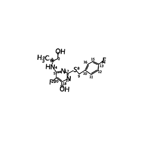 C[C@H](CO)Nc1nc(SCc2ccc(F)cc2)nc(O)c1F